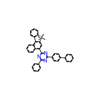 C[Si]1(C)c2ccccc2-c2c1cc(-c1nc(-c3ccccc3)nc(-c3ccc(-c4ccccc4)cc3)n1)c1ccccc21